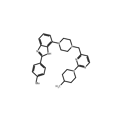 CC1CCN(c2nccc(CN3CCN(c4cccc5nc(-c6ccc(C(C)(C)C)cc6)[nH]c45)CC3)n2)CC1